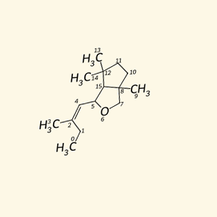 CCC(C)=CC1OCC2(C)CCC(C)(C)C12